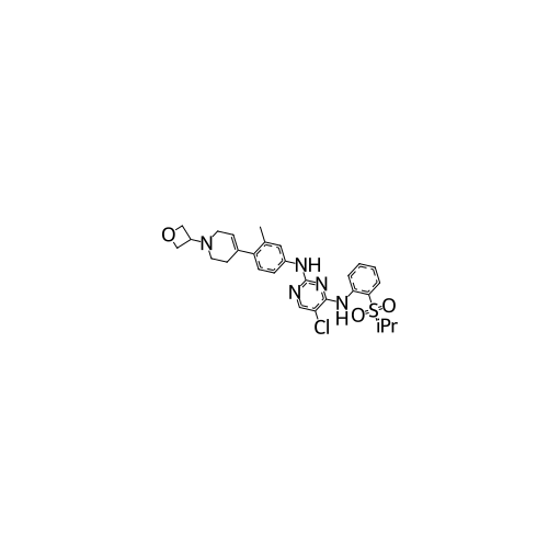 Cc1cc(Nc2ncc(Cl)c(Nc3ccccc3S(=O)(=O)C(C)C)n2)ccc1C1=CCN(C2COC2)CC1